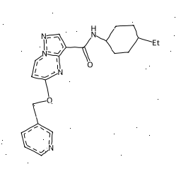 CCC1CCC(NC(=O)c2cnn3ccc(OCc4cccnc4)nc23)CC1